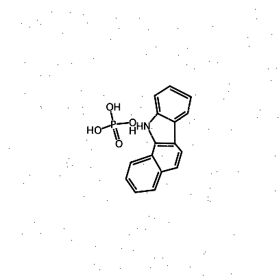 O=P(O)(O)O.c1ccc2c(c1)ccc1c3ccccc3[nH]c21